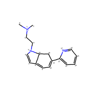 CN(C)CCN1C=CC2=CC=C(c3ccccn3)CC21